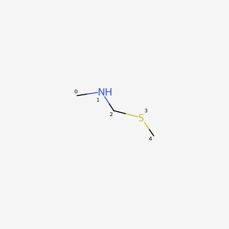 CNCSC